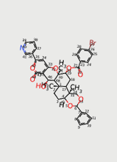 C[C@]12CC[C@@H]3OC(c4ccccc4)OC[C@@]3(C)C1C[C@H](OC(=O)c1ccc(Br)cc1)[C@@]1(C)Oc3cc(-c4cccnc4)oc(=O)c3[C@H](O)C21